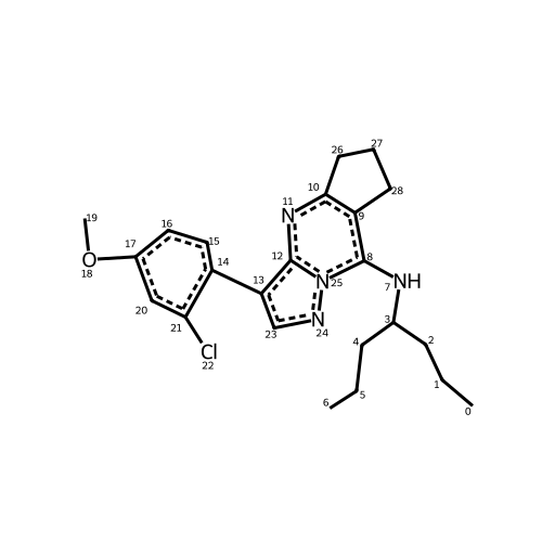 CCCC(CCC)Nc1c2c(nc3c(-c4ccc(OC)cc4Cl)cnn13)CCC2